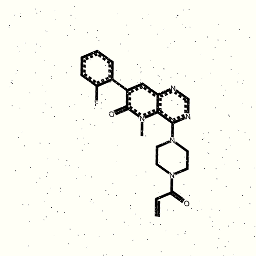 C=CC(=O)N1CCN(c2ncnc3cc(-c4ccccc4F)c(=O)n(C)c23)CC1